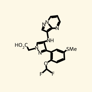 CSc1ccc(OC(F)F)c(-c2nn(CC(=O)O)cc2Nc2cnn3cccnc23)c1